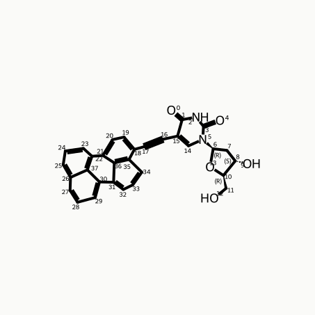 O=c1[nH]c(=O)n([C@H]2C[C@H](O)[C@@H](CO)O2)cc1C#Cc1ccc2c3cccc4cccc(c5cccc1c52)c43